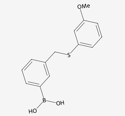 COc1cccc(SCc2cccc(B(O)O)c2)c1